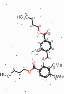 COc1ccc(C(=O)OCCCC(=O)O)c(OCc2ccc(C(=O)OCCCC(=O)O)cc2C(F)(F)F)c1OC